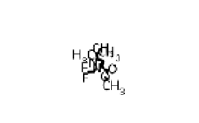 CCOC(=O)c1cc(C(C)(C)C)nn1CC(F)F